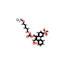 CS(=O)(=O)c1ccc(C(COC(=O)OCCCCCO[N+](=O)[O-])=C(CO)c2ccccc2)cc1